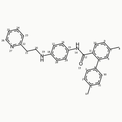 Cc1ccc(-c2cc(C)ccc2C(=O)Nc2ccc(NCCc3ccccn3)cc2)cc1